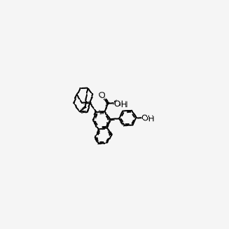 O=C(O)c1c(C23CC4CC(CC(C4)C2)C3)cc2ccccc2c1-c1ccc(O)cc1